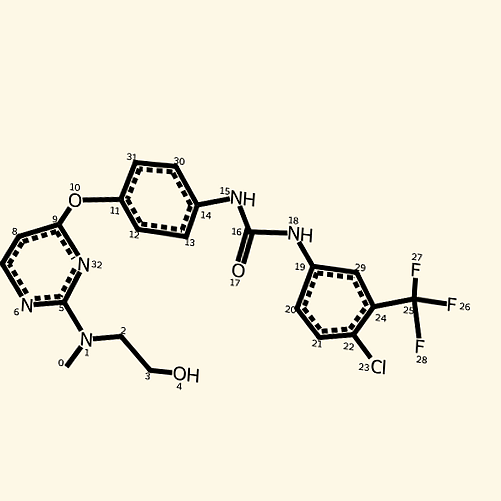 CN(CCO)c1nccc(Oc2ccc(NC(=O)Nc3ccc(Cl)c(C(F)(F)F)c3)cc2)n1